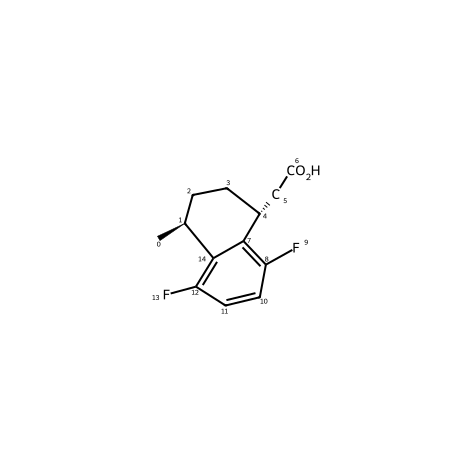 C[C@H]1CC[C@H](CC(=O)O)c2c(F)ccc(F)c21